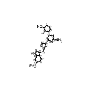 Cc1c(C#N)cccc1-c1cc(-c2cn(Cc3c[nH]c4cc(OC(C)C)ccc34)nn2)nc(N)n1